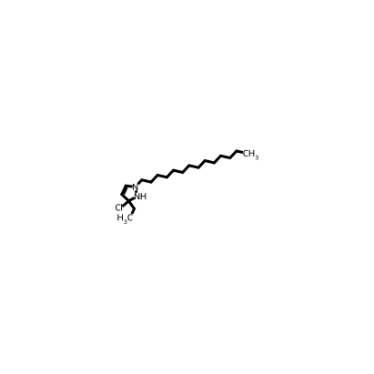 CCCCCCCCCCCCCCN1C=CC(Cl)(CC)N1